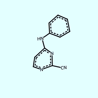 N#Cc1nccc(Nc2ccccc2)n1